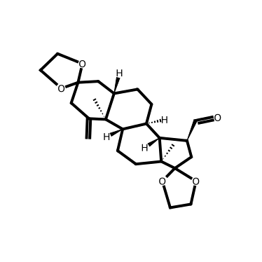 C=C1CC2(C[C@@H]3CC[C@H]4[C@@H]5[C@@H](C=O)CC6(OCCO6)[C@@]5(C)CC[C@@H]4[C@@]13C)OCCO2